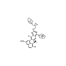 C#Cc1c(F)ccc2cc(O)cc(-c3c(C(F)(F)F)cc4c(N5CC6CCC(C5)N6)nc(OCC5(CN6CC7CCC(C6)O7)CC5)nc4c3F)c12